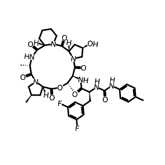 Cc1ccc(NC(=O)N[C@@H](Cc2cc(F)cc(F)c2)C(=O)N[C@@H]2C(=O)N3C[C@H](O)C[C@H]3C(=O)N3CCCC[C@H]3C(=O)N[C@@H](C)C(=O)N3C[C@H](C)C[C@H]3C(=O)O[C@H]2C)cc1